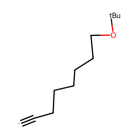 [C]#CCCCCCCOC(C)(C)C